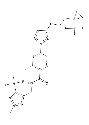 Cc1nc(-n2ccc(OCCC3(C(F)(F)F)CC3)n2)ccc1C(=O)NSc1cn(C)nc1C(C)(F)F